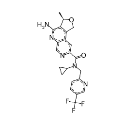 C[C@H]1OCc2c1c(N)nc1cnc(C(=O)N(Cc3ccc(C(F)(F)F)cn3)C3CC3)cc21